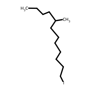 CCCCC(C)CCCCCCCI